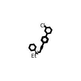 CCN(CC#Cc1ccc(C2CCCC(Cl)C2)cc1)C1CCCCC1